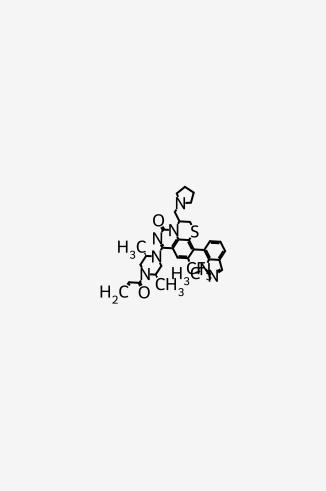 C=CC(=O)N1C[C@H](C)N(c2nc(=O)n3c4c(c(-c5cccc6cnn(C)c56)c(C(F)(F)F)cc24)SCC3CN2CCCC2)C[C@H]1C